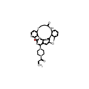 C=CC(=O)N1CCN(c2nc(=O)n3c4nc(c(Cl)cc24)-c2c(F)cccc2NC(=O)CCSc2ccnc(C(C)C)c2-3)CC1